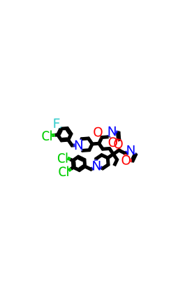 CCC(CCC(C(=O)c1ncco1)C1CCN(Cc2ccc(F)c(Cl)c2)CC1)(C(=O)c1ncco1)C1CCN(Cc2ccc(Cl)c(Cl)c2)CC1